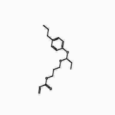 C=CC(=O)OCCCOC(CC)Oc1ccc(CCC)cc1